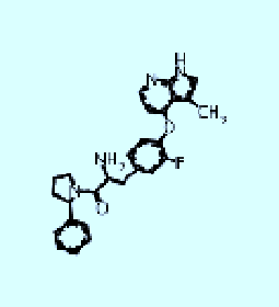 Cc1c[nH]c2nccc(Oc3ccc(CC(N)C(=O)N4CCCC4c4ccccc4)cc3F)c12